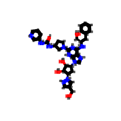 O=C(Nc1cccnc1)NC1CCN(c2nc(N[C@H](CO)Cc3ccccc3)c3ncn([C@@H]4C[C@H](n5cc(CO)cn5)[C@@H](O)[C@H]4O)c3n2)C1